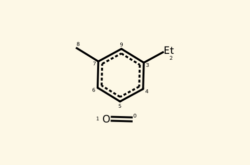 C=O.CCc1cccc(C)c1